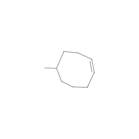 CC1CCC=CCCC1